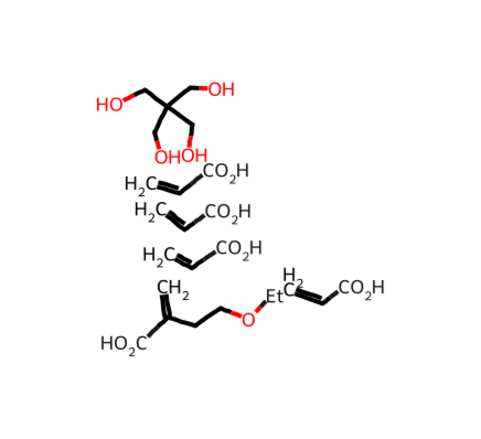 C=C(CCOCC)C(=O)O.C=CC(=O)O.C=CC(=O)O.C=CC(=O)O.C=CC(=O)O.OCC(CO)(CO)CO